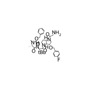 C[C@@H](C(=O)NC(C(=O)N1CC[C@@H]2[C@H]1[C@@H](OCc1ccc(F)cc1)CN2C(=O)CN)C(C)(C)C)N(C)C(=O)OCc1ccccc1